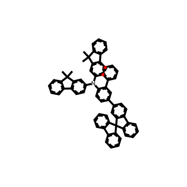 CC1(C)c2ccccc2-c2ccc(N(c3ccc4c(c3)C(C)(C)c3ccccc3-4)c3ccc(-c4ccc5c(c4)C4(c6ccccc6-c6ccccc64)c4ccccc4-5)cc3-c3ccccc3)cc21